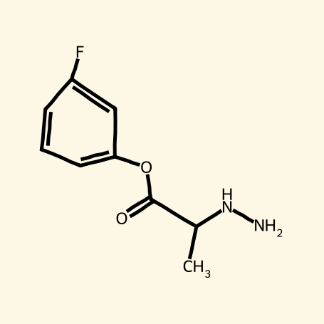 CC(NN)C(=O)Oc1cccc(F)c1